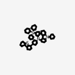 c1ccc(-n2c3ccccc3c3c(N(c4ccc(-c5cccc6c5sc5ccccc56)cc4)c4cccc([Si](c5ccccc5)(c5ccccc5)c5ccccc5)c4)cccc32)cc1